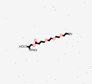 CCCCCCCCC(CCCCCC)COC(=O)CCCOCCOCCOCCC(C)C